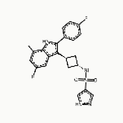 O=S(=O)(N[C@H]1C[C@H](c2c(-c3ccc(F)cc3)[nH]c3c(F)cc(F)cc32)C1)c1cn[nH]c1